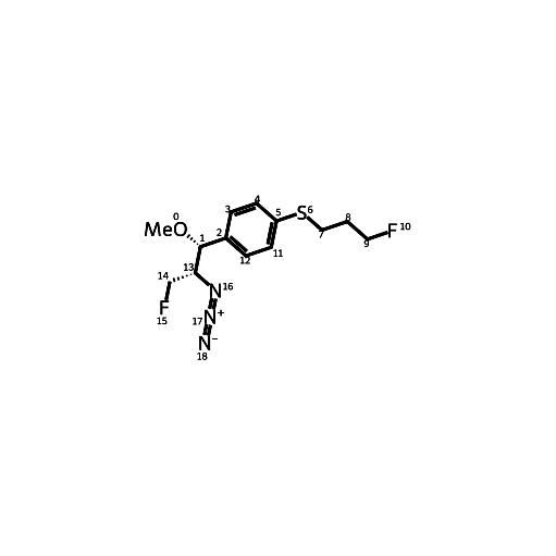 CO[C@H](c1ccc(SCCCF)cc1)[C@@H](CF)N=[N+]=[N-]